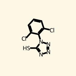 Sc1nnnn1-c1c(Cl)cccc1Cl